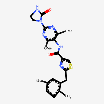 COc1nc(N2CCNC2=O)nc(OC)c1NC(=O)c1csc(Cc2cc(C(C)(C)C)ccc2C)n1